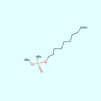 CCCCCCCCCCCCCCCCCCOP(=O)(CCCC)OCCCC